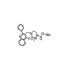 CC(C)(C)OC(=O)N1CCN(Cc2c(-c3ccccc3)nc3ccccc3c2C(=O)O)CC1